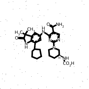 CC1(C)C(=O)Nc2c(C3CCCCC3)cc(Nc3nc(N4CCC[C@H](NC(=O)O)C4)ncc3C(N)=O)cc21